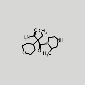 CCC(C(N)=O)(C(=O)N1CCNCC1C)C1CCOCC1